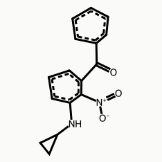 O=C(c1ccccc1)c1cccc(NC2CC2)c1[N+](=O)[O-]